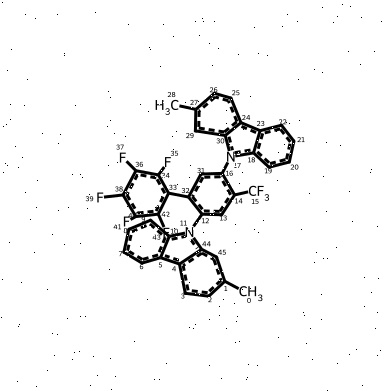 Cc1ccc2c3ccccc3n(-c3cc(C(F)(F)F)c(-n4c5ccccc5c5ccc(C)cc54)cc3-c3c(F)c(F)c(F)c(F)c3F)c2c1